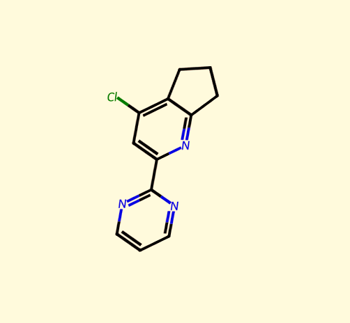 Clc1cc(-c2ncccn2)nc2c1CCC2